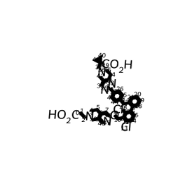 O=C(O)CCN1CCc2cc(OCc3c(Cl)ccc(-c4ccccc4Cc4ccc(-c5ncc6c(n5)CCN(CC5(C(=O)O)CC5)C6)cc4)c3Cl)ncc2C1